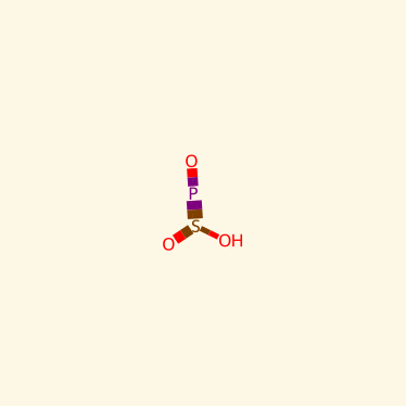 O=P#S(=O)O